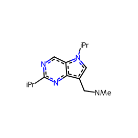 CNCc1cn(C(C)C)c2cnc(C(C)C)nc12